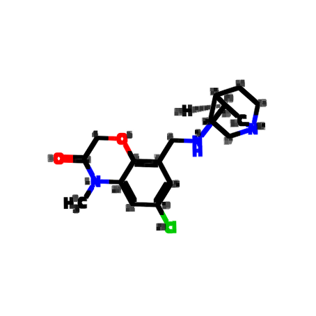 CN1C(=O)COc2c(CN[C@@H]3CN4CCC3CC4)cc(Cl)cc21